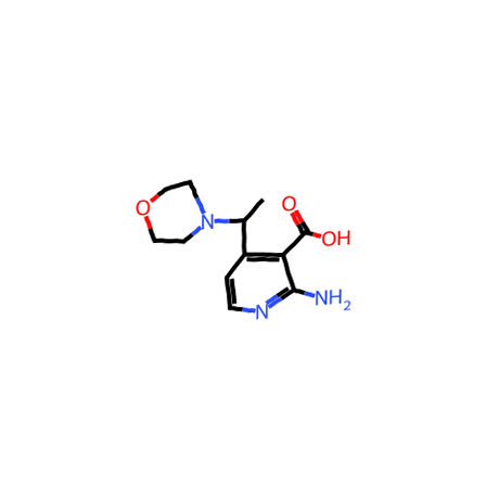 CC(c1ccnc(N)c1C(=O)O)N1CCOCC1